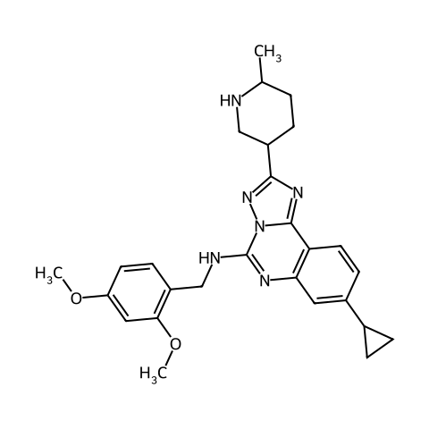 COc1ccc(CNc2nc3cc(C4CC4)ccc3c3nc(C4CCC(C)NC4)nn23)c(OC)c1